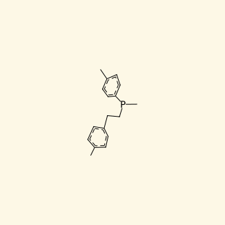 Cc1ccc(CCP(C)c2ccc(C)cc2)cc1